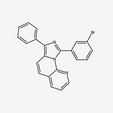 Brc1cccc(-c2nc(-c3ccccc3)c3ccc4cccnc4n23)c1